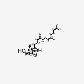 CC(C)=CCCC(C)=CCCC(C)=CCCCC(F)(P(=O)(O)O)S(=O)(=O)O